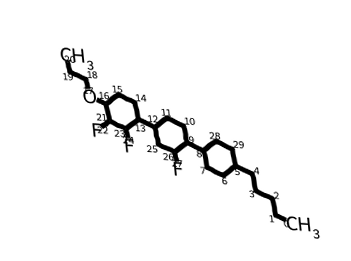 CCCCCC1CCC(C2CCC(C3CCC(OCCC)C(F)C3F)CC2F)CC1